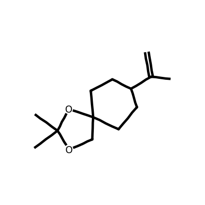 C=C(C)C1CCC2(CC1)COC(C)(C)O2